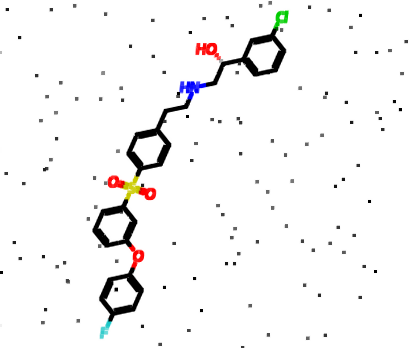 O=S(=O)(c1ccc(CCNC[C@H](O)c2cccc(Cl)c2)cc1)c1cccc(Oc2ccc(F)cc2)c1